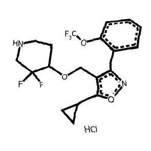 Cl.FC(F)(F)Oc1ccccc1-c1noc(C2CC2)c1COC1CCNCC1(F)F